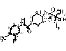 Cc1ccc(NC(=O)N2CCC(NS(=O)(=O)C(C)(C)C)CC2)cc1F